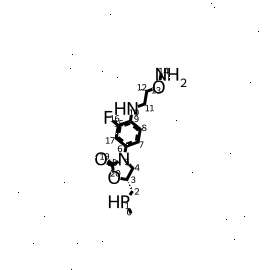 CPC[C@H]1CN(c2ccc(NCCON)c(F)c2)C(=O)O1